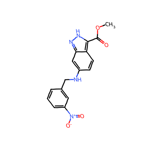 COC(=O)c1[nH]nc2cc(NCc3cccc([N+](=O)[O-])c3)ccc12